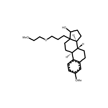 COCCOCCCC12CC[C@@H]3c4ccc(OC)cc4CC[C@H]3[C@@H]1CCC2O